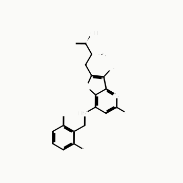 C[C@H](F)[C@H](N)Cc1oc2c(NCc3c(F)cccc3F)cc(Cl)nc2c1Br